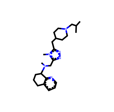 CC(C)CN1CCC(Cc2nnc(CN(C)C3CCCc4cccnc43)n2C)CC1